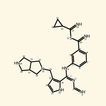 N=C/N=C(/Nc1cccc(C(=N)SC(=N)C2CC2)c1)c1[nH]ccc1CN1CC2CNCC2C1